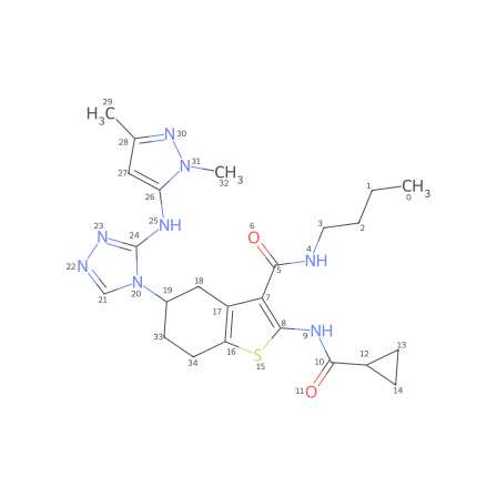 CCCCNC(=O)c1c(NC(=O)C2CC2)sc2c1CC(n1cnnc1Nc1cc(C)nn1C)CC2